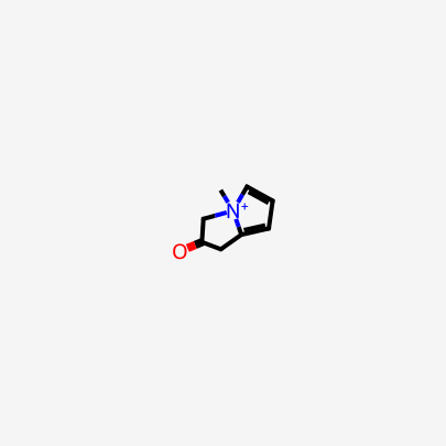 C[N+]12C=CC=C1CC(=O)C2